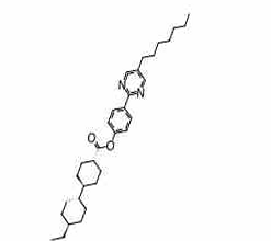 CCCCCCCc1cnc(-c2ccc(OC(=O)[C@H]3CC[C@H]([C@H]4CC[C@H](CC)CC4)CC3)cc2)nc1